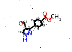 COC(=O)c1ccc(-c2n[nH]cc2C=O)cc1